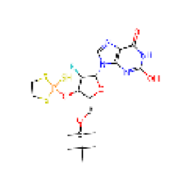 CC(C)(C)[Si](C)(C)OC[C@H]1O[C@@H](n2cnc3c(=O)[nH]c(O)nc32)[C@H](F)[C@@H]1O[P]1(S)SCCS1